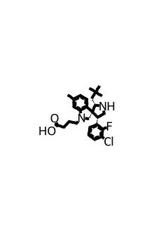 Cc1ccc2c(c1)N(CCCC(=O)O)C[C@@]21[C@H](CC(C)(C)C)NC[C@@H]1c1cccc(Cl)c1F